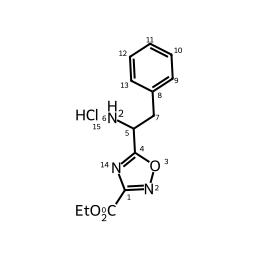 CCOC(=O)c1noc(C(N)Cc2ccccc2)n1.Cl